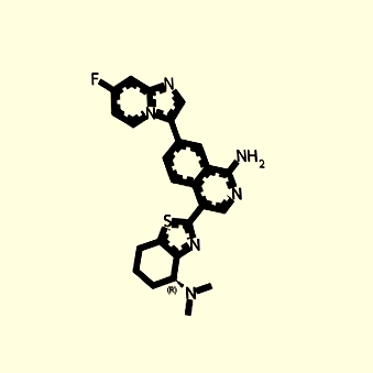 CN(C)[C@@H]1CCCc2sc(-c3cnc(N)c4cc(-c5cnc6cc(F)ccn56)ccc34)nc21